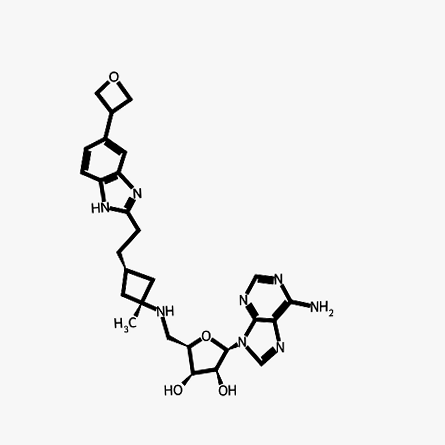 C[C@]1(NC[C@H]2O[C@@H](n3cnc4c(N)ncnc43)[C@@H](O)[C@H]2O)C[C@H](CCc2nc3cc(C4COC4)ccc3[nH]2)C1